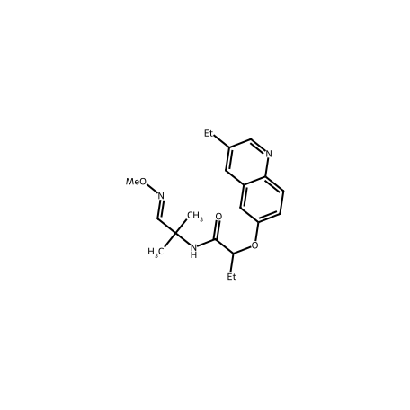 CCc1cnc2ccc(OC(CC)C(=O)NC(C)(C)C=NOC)cc2c1